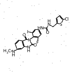 CNc1ccc2c(=O)n(-c3c(F)cc(NC(=O)NCc4ccc(Cl)s4)cc3I)c(=O)[nH]c2c1